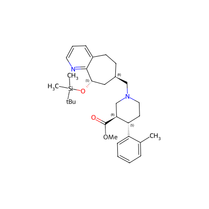 COC(=O)[C@H]1CN(C[C@@H]2CCc3cccnc3[C@@H](O[Si](C)(C)C(C)(C)C)C2)CC[C@@H]1c1ccccc1C